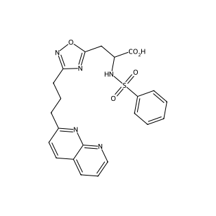 O=C(O)C(Cc1nc(CCCc2ccc3cccnc3n2)no1)NS(=O)(=O)c1ccccc1